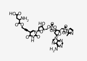 Cc1nccn1P(=O)(O)C[C@H]1O[C@@H](n2cnc3c(N)ncnc32)C[C@H]1OP(=O)(O)OC[C@H]1O[C@@H](n2cc(C#CCOC(=O)C(N)CC(=O)O)c(=O)[nH]c2=O)C[C@H]1O